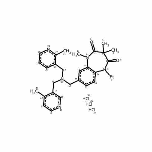 CCN1C(=O)C(C)(C)C(=O)N(C)c2cc(CN(Cc3cnccc3C)Cc3cccnc3C)ccc21.Cl.Cl.Cl